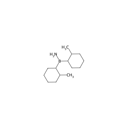 CC1CCCCC1B(N)C1CCCCC1C